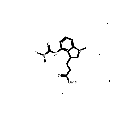 CCN(C)C(=O)Oc1cccc2c1C(CCC(=O)OC)CN2C